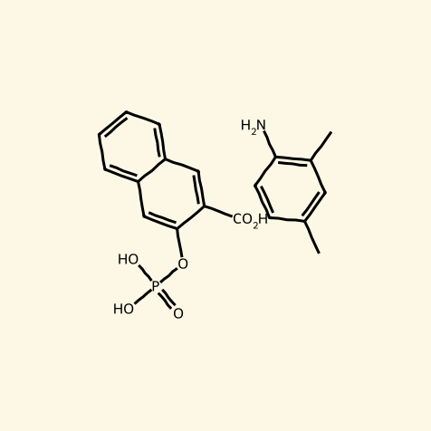 Cc1ccc(N)c(C)c1.O=C(O)c1cc2ccccc2cc1OP(=O)(O)O